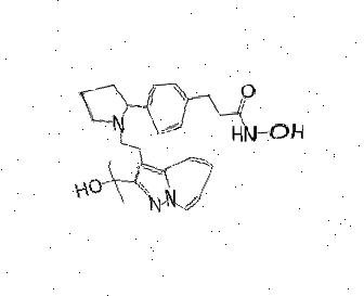 CC(C)(O)c1nn2ccccc2c1CCN1CCCC1c1ccc(CCC(=O)NO)cc1